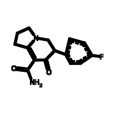 NC(=O)C1=C2CCCN2CC(c2ccc(F)cc2)C1=O